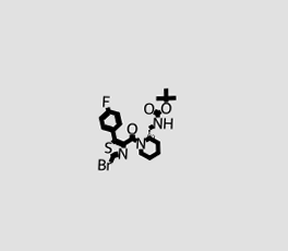 CC(C)(C)OC(=O)NC[C@@H]1CCCCN1C(=O)c1nc(Br)sc1-c1ccc(F)cc1